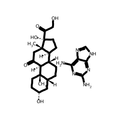 C[C@]12CC[C@@H](O)C[C@H]1CC[C@@H]1[C@@H]2C(=O)C[C@@]2(C)[C@H]1CC[C@]2(O)C(=O)CO.Nc1nc(N)c2nc[nH]c2n1